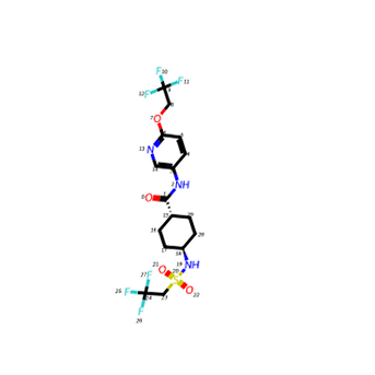 O=C(Nc1ccc(OCC(F)(F)F)nc1)[C@H]1CC[C@H](NS(=O)(=O)CC(F)(F)F)CC1